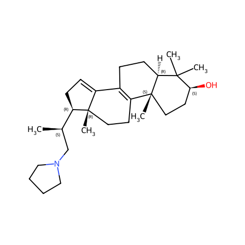 C[C@H](CN1CCCC1)[C@H]1CC=C2C3=C(CC[C@@]21C)[C@@]1(C)CC[C@H](O)C(C)(C)[C@@H]1CC3